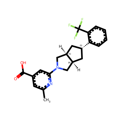 Cc1cc(C(=O)O)cc(N2C[C@H]3C[C@H](c4ccccc4C(F)(F)F)C[C@H]3C2)n1